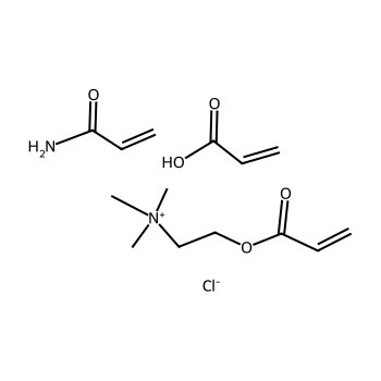 C=CC(=O)O.C=CC(=O)OCC[N+](C)(C)C.C=CC(N)=O.[Cl-]